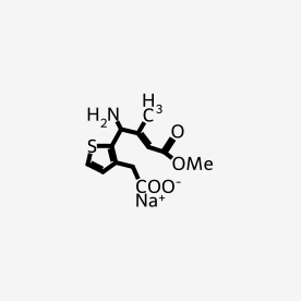 COC(=O)C=C(C)C(N)c1sccc1CC(=O)[O-].[Na+]